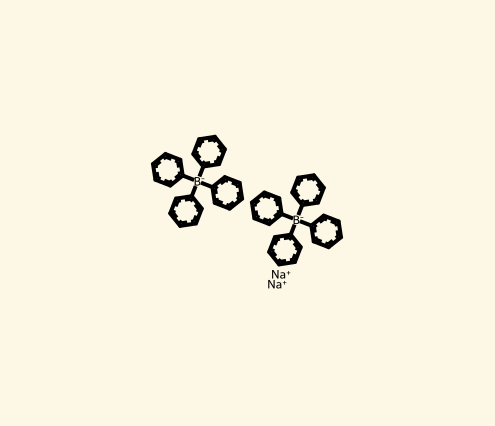 [Na+].[Na+].c1ccc([B-](c2ccccc2)(c2ccccc2)c2ccccc2)cc1.c1ccc([B-](c2ccccc2)(c2ccccc2)c2ccccc2)cc1